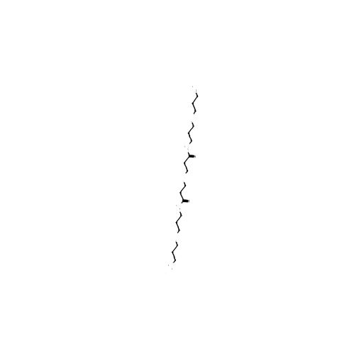 NCCCOCCCNC(=O)CCOCCC(=O)NCCCOCCCN